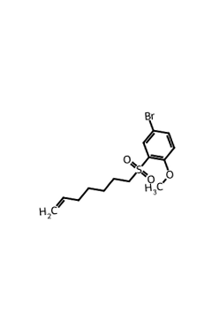 C=CCCCCCS(=O)(=O)c1cc(Br)ccc1OC